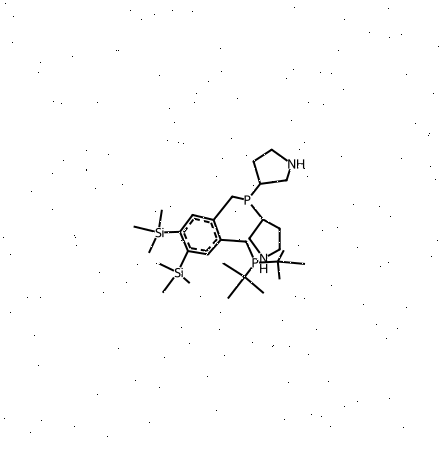 CC(C)(C)P(Cc1cc([Si](C)(C)C)c([Si](C)(C)C)cc1CP(C1CCNC1)C1CCNC1)C(C)(C)C